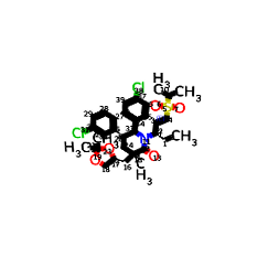 CC[C@@H](/C=C/S(=O)(=O)C(C)C)N1C(=O)[C@@](C)(C[C@@H]2COC(C)(C)O2)C[C@H](c2cccc(Cl)c2)C1c1ccc(Cl)cc1